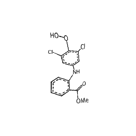 COC(=O)c1ccccc1Nc1cc(Cl)c(OO)c(Cl)c1